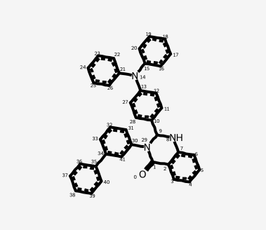 O=C1c2ccccc2NC(c2ccc(N(c3ccccc3)c3ccccc3)cc2)N1c1cccc(-c2ccccc2)c1